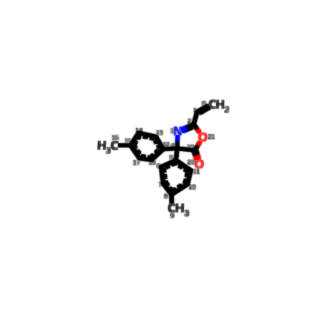 C=CC1=NC(c2ccc(C)cc2)(c2ccc(C)cc2)C(=O)O1